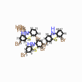 Br.Br.Br.Brc1ccc2c(c1)Sc1c(Br)cccc1N2.Brc1ccc2c(c1)Sc1c(Br)cccc1N2.Brc1ccc2c(c1)Sc1c(Br)cccc1N2